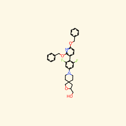 OCC1CC2(CCN(c3cc(F)c(-c4ccc(OCc5ccccc5)nc4OCc4ccccc4)c(F)c3)CC2)CO1